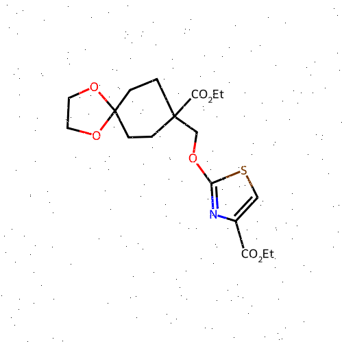 CCOC(=O)c1csc(OCC2(C(=O)OCC)CCC3(CC2)OCCO3)n1